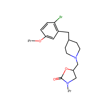 CC(C)Oc1ccc(Br)c(CC2CCN(CC3CN(C(C)C)C(=O)O3)CC2)c1